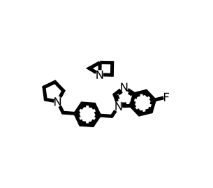 C1CN2CC12.Fc1ccc2c(c1)ncn2Cc1ccc(CN2CCCC2)cc1